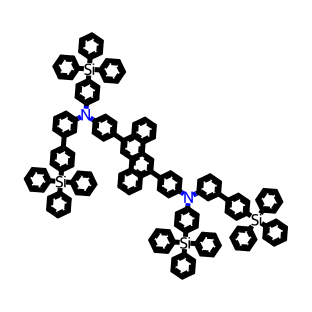 c1ccc([Si](c2ccccc2)(c2ccccc2)c2ccc(-c3cccc(N(c4ccc(-c5cc6c7ccccc7c(-c7ccc(N(c8ccc([Si](c9ccccc9)(c9ccccc9)c9ccccc9)cc8)c8cccc(-c9ccc([Si](c%10ccccc%10)(c%10ccccc%10)c%10ccccc%10)cc9)c8)cc7)cc6c6ccccc56)cc4)c4ccc([Si](c5ccccc5)(c5ccccc5)c5ccccc5)cc4)c3)cc2)cc1